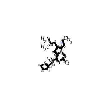 C/C=C/c1c(C[C@H](C)N)cc2c(NCc3cccs3)nc(Cl)nn12